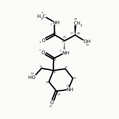 CNC(=O)[C@@H](NC(=O)C1(CO)CCNC(=O)C1)[C@@H](C)O